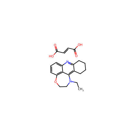 CCN1CCOc2cccc3nc4c(c1c23)CCCC4.O=C(O)C=CC(=O)O